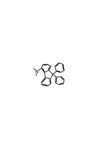 CN(C)c1cccc2c1-c1ccccc1C2(c1ccccc1)c1ccccc1